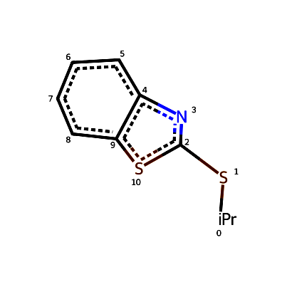 CC(C)Sc1nc2ccccc2s1